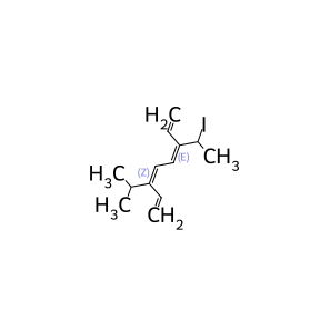 C=C/C(=C\C=C(/C=C)C(C)I)C(C)C